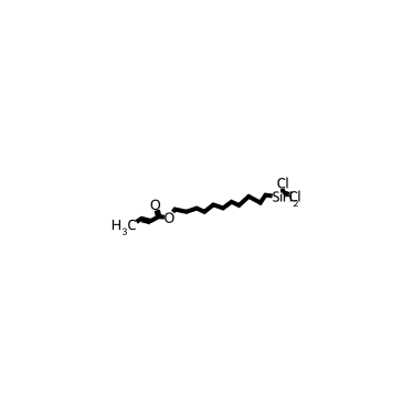 CC=CC(=O)OCCCCCCCCCCC[SiH2]C(Cl)Cl